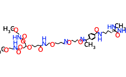 CN[C@@H](CCCCNC(=O)c1ccc(/C(C)=N/OCCCO/N=C/CCCOCCNC(=O)CCCOC(COC(=O)NCCOC)COC(=O)NCCOC)cc1)C(N)=O